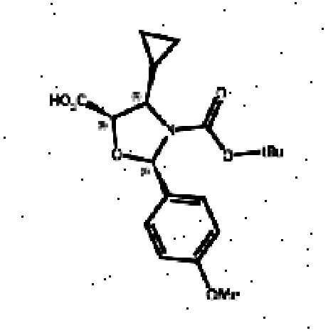 COc1ccc([C@H]2O[C@@H](C(=O)O)[C@@H](C3CC3)N2C(=O)OC(C)(C)C)cc1